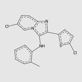 Cc1ccccc1Nc1c(-c2ccc(Cl)s2)nc2ccc(Cl)cn12